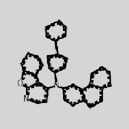 c1ccc(-c2ccc(N(c3ccc4ccc5ccccc5c4c3)c3ccnc4oc5ccccc5c34)cc2)cc1